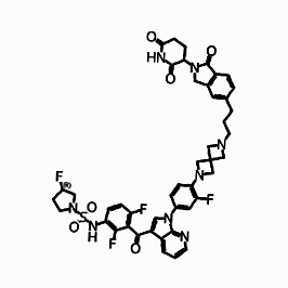 O=C1CCC(N2Cc3cc(CCCN4CC5(C4)CN(c4ccc(-n6cc(C(=O)c7c(F)ccc(NS(=O)(=O)N8CC[C@@H](F)C8)c7F)c7cccnc76)cc4F)C5)ccc3C2=O)C(=O)N1